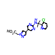 CC(C)(Nc1ncc(-c2cnn(CC(=O)O)c2)cn1)c1ncccc1Cl